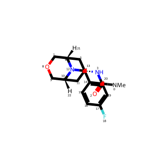 CNC(=O)N[C@H]1C[C@H]2COC[C@@H](C1)N2Cc1ccc(F)cc1